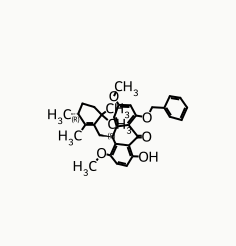 COc1cc(OCc2ccccc2)c2c(c1)[C@H](CC1=C(C)[C@H](C)CCC1(C)C)c1c(OC)ccc(O)c1C2=O